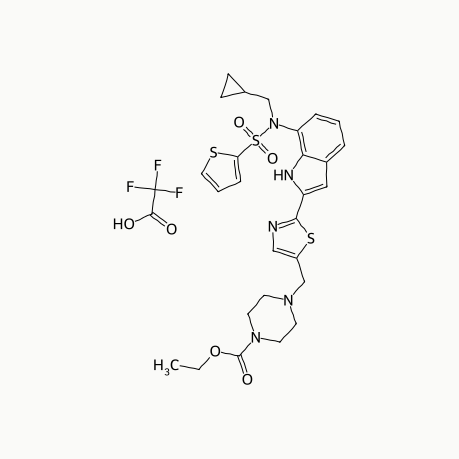 CCOC(=O)N1CCN(Cc2cnc(-c3cc4cccc(N(CC5CC5)S(=O)(=O)c5cccs5)c4[nH]3)s2)CC1.O=C(O)C(F)(F)F